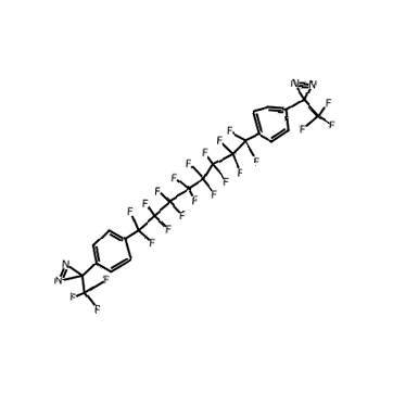 FC(F)(F)C1(c2ccc(C(F)(F)C(F)(F)C(F)(F)C(F)(F)C(F)(F)C(F)(F)C(F)(F)C(F)(F)c3ccc(C4(C(F)(F)F)N=N4)cc3)cc2)N=N1